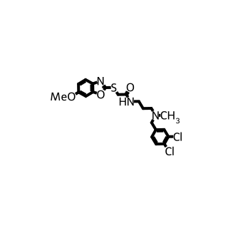 COc1ccc2nc(SCC(=O)NCCCN(C)Cc3ccc(Cl)c(Cl)c3)oc2c1